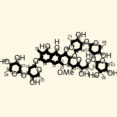 CO[C@H](C(=O)[C@@H](O)[C@@H](C)O)[C@@H]1Cc2cc3cc(O[C@@H]4C[C@@H](O[C@@H]5C[C@@H](O)[C@H](O)[C@@H](C)O5)[C@H](O)[C@@H](C)O4)c(C)c(O)c3c(O)c2C(=O)[C@H]1O[C@@H]1C[C@@H](O[C@@H]2C[C@@H](O[C@@H]3C[C@](C)(O)[C@H](O)[C@@H](C)O3)[C@@H](O)[C@@H](C)O2)[C@H](O)[C@@H](C)O1